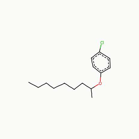 CCCCCCCC(C)Oc1ccc(Cl)cc1